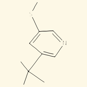 CSc1cncc(C(C)(C)C)c1